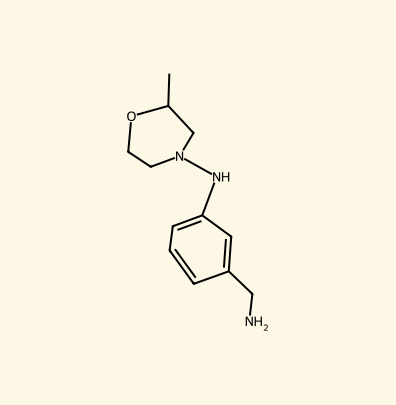 CC1CN(Nc2cccc(CN)c2)CCO1